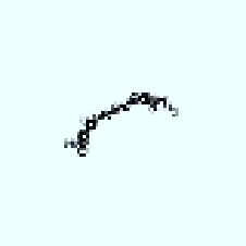 CC(=O)Nc1ccc(OCCOCCOCCOCCNc2ccc(-c3ccc4c(c3)CC(=O)N4)cc2)cc1